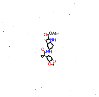 COC(=O)c1cc2cc(NC(=O)C3(c4ccc5c(c4)OCO5)CC3)ccc2[nH]1